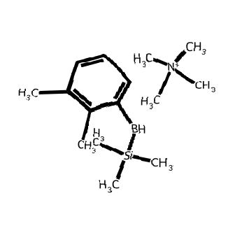 C[N+](C)(C)C.Cc1cccc(B[Si](C)(C)C)c1C